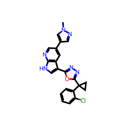 Cn1cc(-c2cnc3[nH]cc(-c4nnc(C5(c6ccccc6Cl)CC5)o4)c3c2)cn1